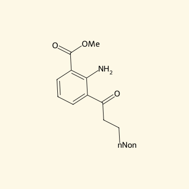 CCCCCCCCCCCC(=O)c1cccc(C(=O)OC)c1N